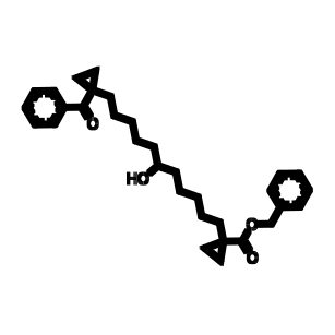 O=C(OCc1ccccc1)C1(CCCCCC(O)CCCCCC2(C(=O)c3ccccc3)CC2)CC1